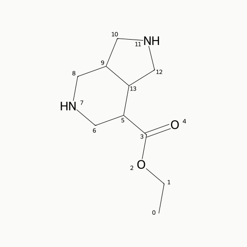 CCOC(=O)C1CNCC2CNCC21